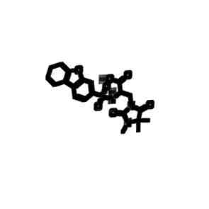 CN1C(=O)N(CC(NS(=O)(=O)c2ccc3c4c(oc3c2)CCCC4)C(=O)O)C(=O)C1(C)C